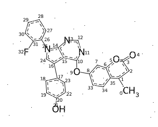 Cc1cc(=O)oc2cc(Oc3ncnc4c3c(-c3ccc(O)cc3)cn4-c3ccccc3F)ccc12